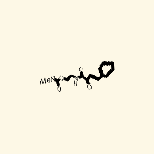 CNC(=O)OCCNC(=O)C(=O)/C=C/c1ccccc1